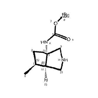 C[C@H]1C[C@@]2(NC(=O)OC(C)(C)C)CNC[C@@H]12